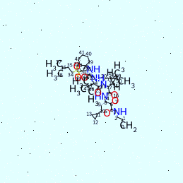 C=CCNC(=O)C(=O)[C@H](CCC1CC1)NC(=O)[C@@H]1[C@@H]2[C@H](CN1C(=O)[C@@H](NC(=O)NC1(CS(=O)(=O)CCC(C)C)CCCCC1)C(C)(C)C)C2(C)C